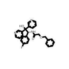 O=C(COCc1ccccc1)N[C@H](c1ccc(F)cc1)C(O)(c1cccnc1)c1cccnc1